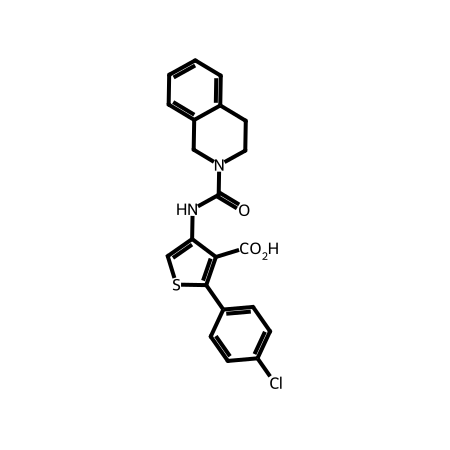 O=C(O)c1c(NC(=O)N2CCc3ccccc3C2)csc1-c1ccc(Cl)cc1